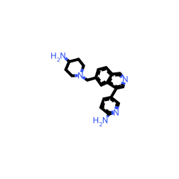 Nc1ccc(-c2cncc3ccc(CN4CCC(N)CC4)cc23)cn1